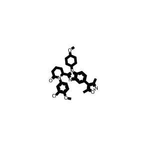 COc1ccc(N2C(=O)CCCC2c2nc3cc(-c4c(C)noc4C)ccc3n2C2CCC(OC)CC2)cc1Cl